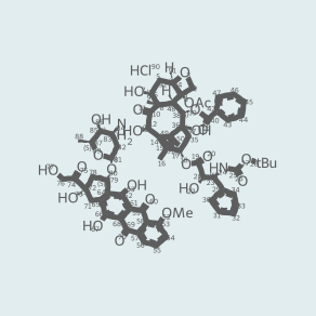 CC(=O)O[C@@]12CO[C@@H]1C[C@H](O)[C@@]1(C)C(=O)[C@H](O)C3=C(C)[C@@H](OC(=O)[C@H](O)[C@@H](NC(=O)OC(C)(C)C)c4ccccc4)C[C@@](O)([C@@H](OC(=O)c4ccccc4)[C@H]21)C3(C)C.COc1cccc2c1C(=O)c1c(O)c3c(c(O)c1C2=O)C[C@@](O)(C(=O)CO)C[C@@H]3O[C@H]1C[C@H](N)[C@H](O)[C@H](C)O1.Cl